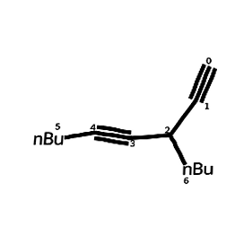 C#CC(C#CCCCC)CCC[CH2]